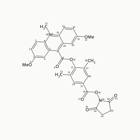 COc1ccc2c(c1)c(C(=O)Oc1c(C)cc(C(=O)ON3C(=O)CCC3=O)cc1C)c1cc(OC)ccc1[n+]2C